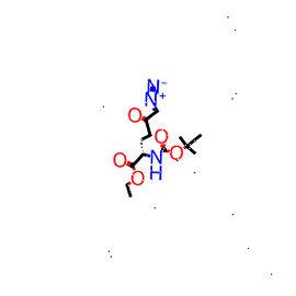 CCOC(=O)[C@H](CCC(=O)C=[N+]=[N-])NC(=O)OC(C)(C)C